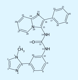 Cn1ccnc1-c1cccc(NC(=O)Nc2c(-c3ccccc3)nc3ccccn23)c1